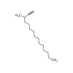 CCCCCCCCCCCCC(C)C#N